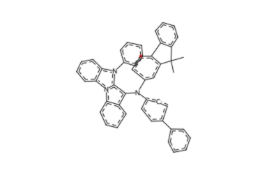 CC1(C)c2ccccc2-c2ccc(N(c3ccc(-c4ccccc4)cc3)c3c4ccccc4n4c5ccccc5n(-c5ccccc5)c34)cc21